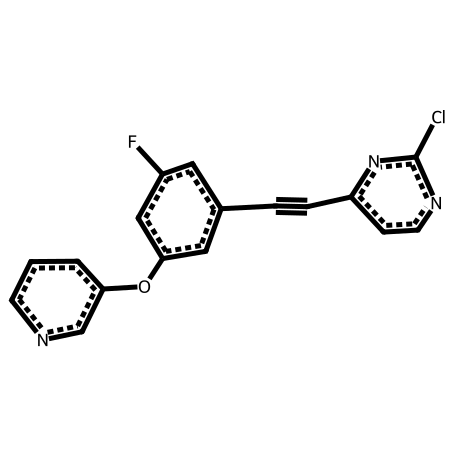 Fc1cc(C#Cc2ccnc(Cl)n2)cc(Oc2cccnc2)c1